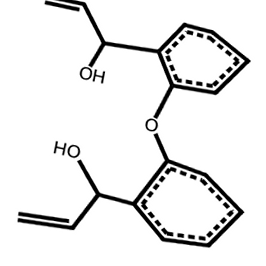 C=CC(O)c1ccccc1Oc1ccccc1C(O)C=C